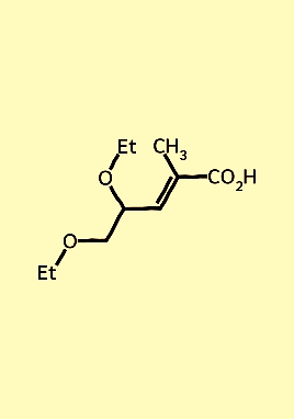 CCOCC(C=C(C)C(=O)O)OCC